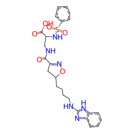 O=C(NCC(NS(=O)(=O)c1ccccc1)C(=O)O)C1=NOC(CCCCNc2nc3ccccc3[nH]2)C1